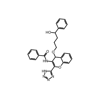 O=C(NC1=C(c2nnn[nH]2)Oc2ccccc2C1OCCCC(O)c1ccccc1)c1ccccc1